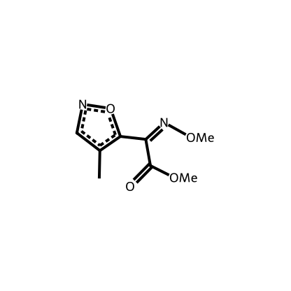 CON=C(C(=O)OC)c1oncc1C